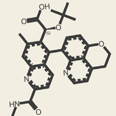 CNC(=O)c1ccc2c(-c3ccc4c5c(ccnc35)CCO4)c([C@H](OC(C)(C)C)C(=O)O)c(C)cc2n1